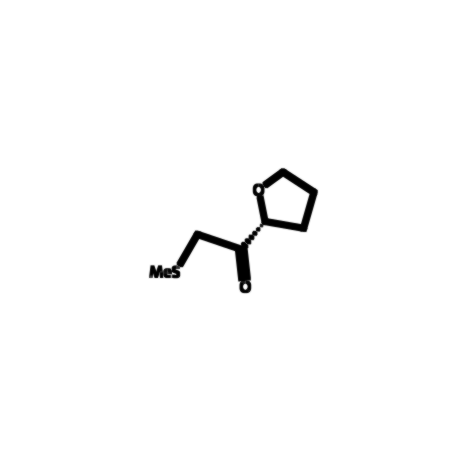 CSCC(=O)[C@H]1CCCO1